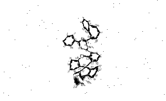 c1ccc(C2=NC(c3cccc4c3Oc3ccccc3C43c4ccccc4-c4ccccc43)NC(c3cccc4ccccc34)=N2)cc1